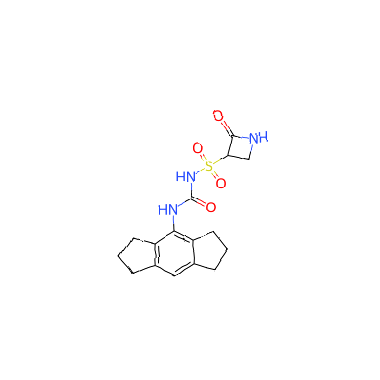 O=C(Nc1c2c(cc3c1CCC3)CCC2)NS(=O)(=O)C1CNC1=O